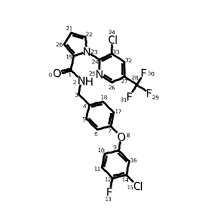 O=C(NCc1ccc(Oc2ccc(F)c(Cl)c2)cc1)c1cccn1-c1ncc(C(F)(F)F)cc1Cl